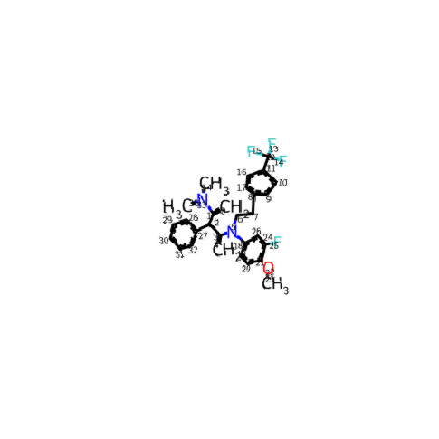 C=C(C(C(=C)N(CCc1ccc(C(F)(F)F)cc1)c1ccc(OC)c(F)c1)c1ccccc1)N(C)C